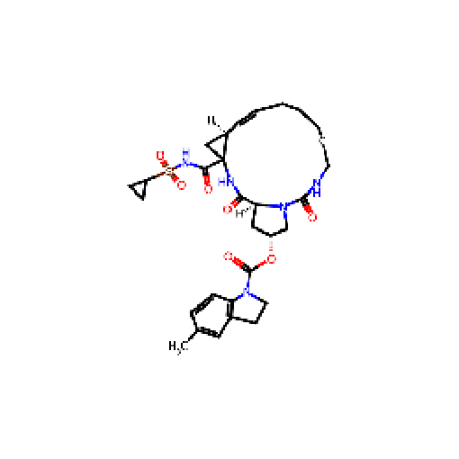 Cc1ccc2c(c1)CCN2C(=O)O[C@@H]1C[C@H]2C(=O)NC3(C(=O)NS(=O)(=O)C4CC4)C[C@H]3/C=C\CCCCCNC(=O)N2C1